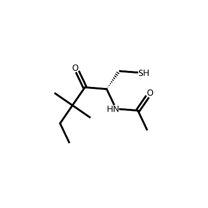 CCC(C)(C)C(=O)[C@H](CS)NC(C)=O